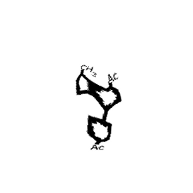 CC(=O)c1ccc(-c2ccc(C(C)=O)c3c2CCC3C)cc1